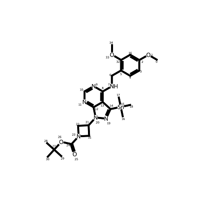 COc1ccc(CNc2ncnc3c2[c]([Sn]([CH3])([CH3])[CH3])nn3C2CN(C(=O)OC(C)(C)C)C2)c(OC)c1